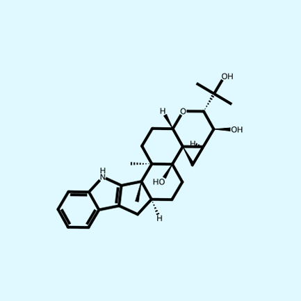 CC(C)(O)[C@H]1O[C@H]2CC[C@@]3(C)[C@@](O)(CC[C@H]4Cc5c([nH]c6ccccc56)[C@@]43C)[C@]23C[C@@H]3[C@@H]1O